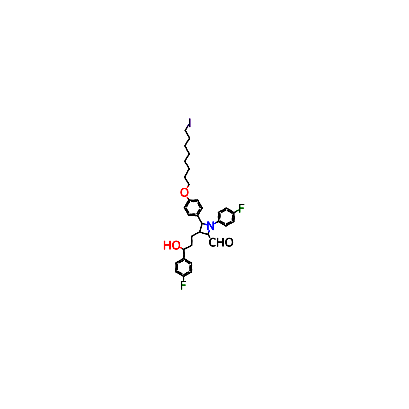 O=CC1C(CCC(O)c2ccc(F)cc2)C(c2ccc(OCCCCCCCCI)cc2)N1c1ccc(F)cc1